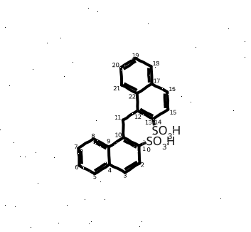 O=S(=O)(O)c1ccc2ccccc2c1Cc1c(S(=O)(=O)O)ccc2ccccc12